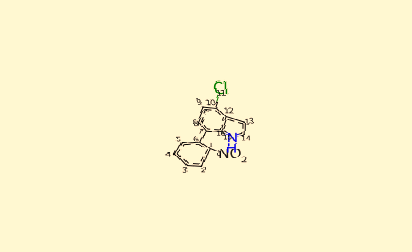 O=[N+]([O-])c1ccccc1-c1ccc(Cl)c2cc[nH]c12